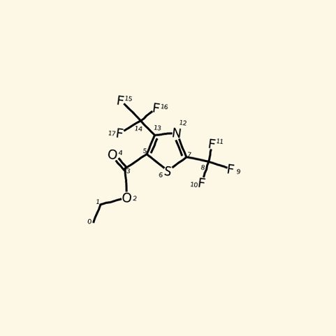 CCOC(=O)c1sc(C(F)(F)F)nc1C(F)(F)F